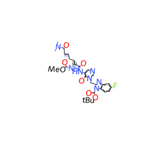 COC(=O)N[C@@H](CC/C=C/C(=O)N(C)C)C(=O)Nc1cncn(Cc2nc3cc(F)ccc3n2C(=O)OC(C)(C)C)c1=O